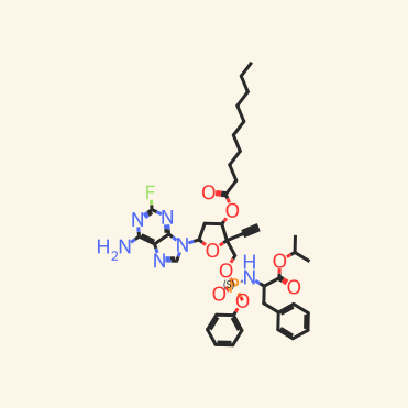 C#CC1(CO[P@@](=O)(NC(Cc2ccccc2)C(=O)OC(C)C)Oc2ccccc2)OC(n2cnc3c(N)nc(F)nc32)CC1OC(=O)CCCCCCCCC